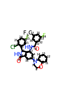 O=C(Nc1cc(N2CCOc3ccccc32)cc2c1C(c1cc(F)ccc1Cl)NC2=O)c1cc(F)cc(C(F)(F)F)c1